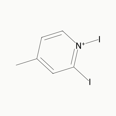 Cc1cc[n+](I)c(I)c1